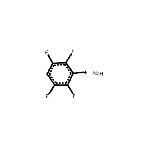 Fc1cc(F)c(F)c(F)c1F.[NaH]